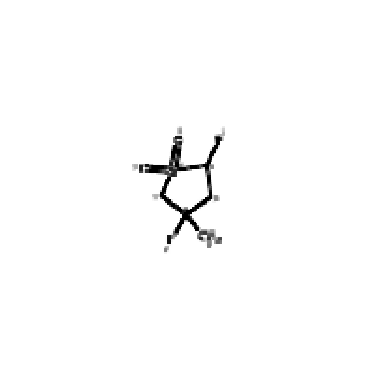 CC1(F)CC(F)S(=O)(=O)C1